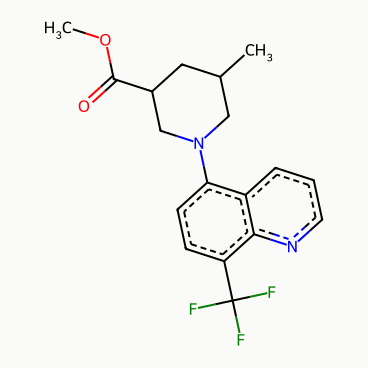 COC(=O)C1CC(C)CN(c2ccc(C(F)(F)F)c3ncccc23)C1